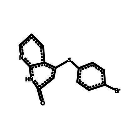 O=c1cc(Sc2ccc(Br)cc2)c2cccnc2[nH]1